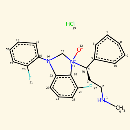 CNCC[C@H](c1ccccc1)[N+]1([O-])CN(c2ccccc2F)c2cccc(F)c21.Cl